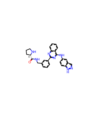 O=C(NCc1cccc(-c2nc(Nc3ccc4[nH]ncc4c3)c3ccccc3n2)c1)[C@@H]1CCCN1